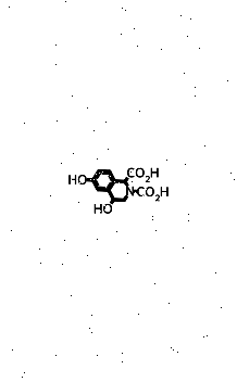 O=C(O)C1c2ccc(O)cc2C(O)CN1C(=O)O